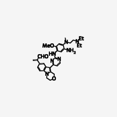 C=C(C=O)c1ccc2c(c1)c(-c1ccnc(Nc3cc(N)c(N(C)CCN(CC)CC)cc3OC)n1)c1n2CCOC1